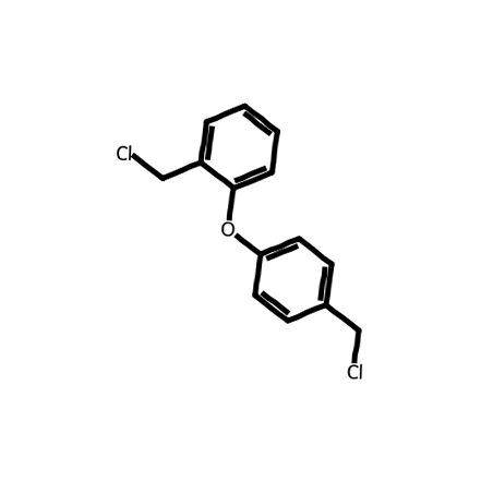 ClCc1ccc(Oc2ccccc2CCl)cc1